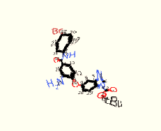 CC(C)(C)OC(=O)n1cnc2cc(Oc3ccc(C(=O)Nc4ccc(Br)cc4)cc3N)ccc21